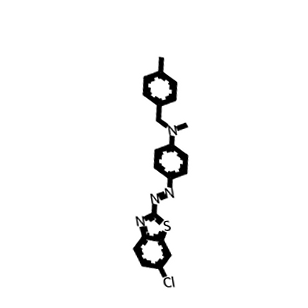 Cc1ccc(CN(C)c2ccc(N=Nc3nc4ccc(Cl)cc4s3)cc2)cc1